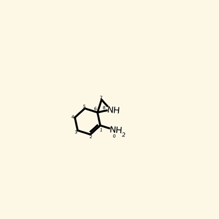 NC1=CCCCC12CN2